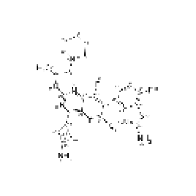 CC(CN1CCCCC1)Oc1nc(C23CC(N)(C2)C3)c2cc(Cl)c(-c3ccc(F)c4sc(N)nc34)c(F)c2n1